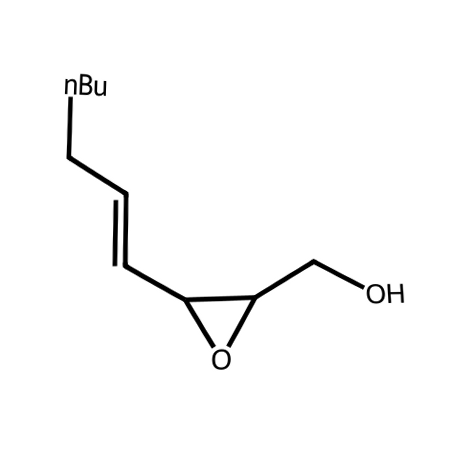 CCCCCC=CC1OC1CO